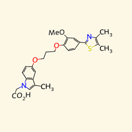 COc1cc(-c2nc(C)c(C)s2)ccc1OCCCOc1ccc2c(c1)c(C)cn2CC(=O)O